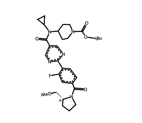 COC[C@H]1CCCN1C(=O)c1ccc(-c2ncc(C(=O)N(C3CC3)C3CCN(C(=O)OC(C)(C)C)CC3)cn2)c(F)c1